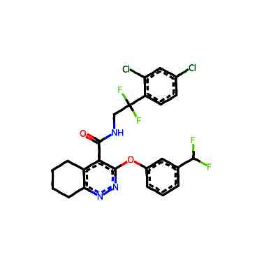 O=C(NCC(F)(F)c1ccc(Cl)cc1Cl)c1c(Oc2cccc(C(F)F)c2)nnc2c1CCCC2